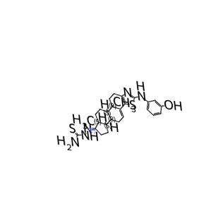 C[C@]12CCc3nc(Nc4cccc(O)c4)sc3C1=CC[C@@H]1[C@@H]2CC[C@]2(C)/C(=N/NC(N)=S)CC[C@@H]12